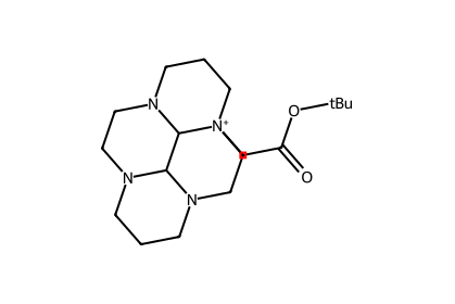 CC(C)(C)OC(=O)C[N+]12CCCN3CCN4CCCN(CC1)C4C32